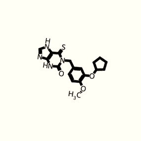 COc1ccc(Cn2c(=O)[nH]c3nc[nH]c3c2=S)cc1OC1CCCC1